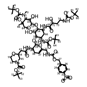 CN(C(=O)OC(C)(C)C)[C@@H]1[C@@H](O)[C@@H](O[C@@H]2[C@@H](O)[C@H](O[C@H]3OC(CNC(=O)OCc4ccc([N+](=O)[O-])cc4)=CC[C@H]3NC(=O)CC3CN(C(=O)OC(C)(C)C)CCO3)[C@@H](NC(=O)OC(C)(C)C)C[C@H]2NC(=O)[C@@H](O)CCNC(=O)OC(C)(C)C)OC[C@]1(C)O